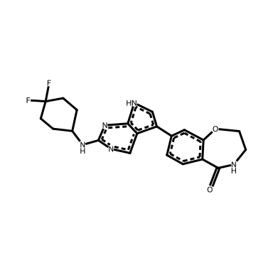 O=C1NCCOc2cc(-c3c[nH]c4nc(NC5CCC(F)(F)CC5)ncc34)ccc21